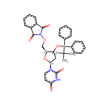 CC(C)(C)[Si](OC1C[C@@H](n2ccc(=O)[nH]c2=O)O[C@H]1CON1C(=O)c2ccccc2C1=O)(c1ccccc1)c1ccccc1